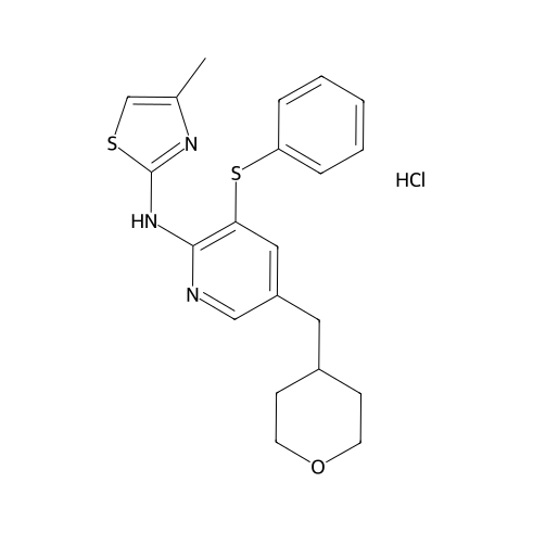 Cc1csc(Nc2ncc(CC3CCOCC3)cc2Sc2ccccc2)n1.Cl